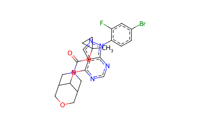 CC1(OC(=O)N2CC3COCC(C2)C3Oc2ncnc3c2cnn3-c2ccc(Br)cc2F)CC1